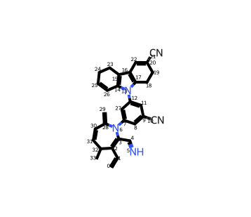 C=CC1=C(C=N)N(c2cc(C#N)cc(-n3c4c(c5c3CCC(C#N)=C5)CCC=C4)c2)C(=C)C=CC1C